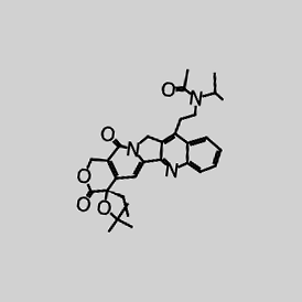 CC[C@@]1(OC(C)(C)C)C(=O)OCc2c1cc1n(c2=O)Cc2c-1nc1ccccc1c2CCN(C(C)=O)C(C)C